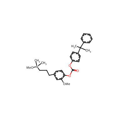 COc1cc(CCC[Si](C)(C)OC)ccc1OC(=O)Oc1ccc(C(C)(C)c2ccccc2)cc1